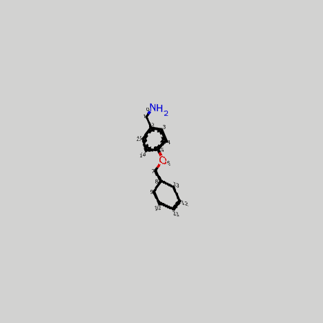 NCc1ccc(OCC2CCCCC2)cc1